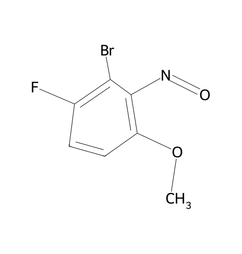 COc1ccc(F)c(Br)c1N=O